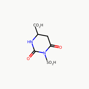 O=C(O)C1CC(=O)N(S(=O)(=O)O)C(=O)N1